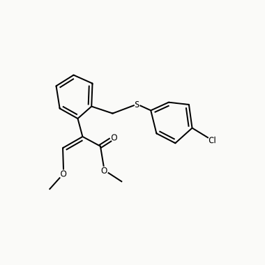 CO/C=C(\C(=O)OC)c1ccccc1CSc1ccc(Cl)cc1